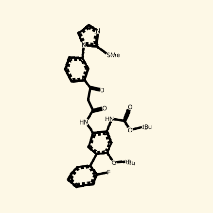 CSc1nccn1-c1cccc(C(=O)CC(=O)Nc2cc(-c3ccccc3F)c(OC(C)(C)C)cc2NC(=O)OC(C)(C)C)c1